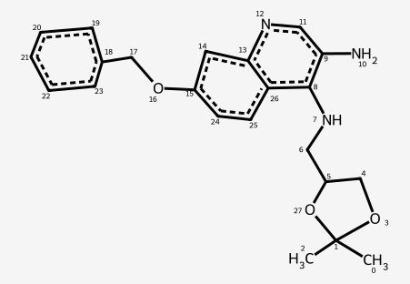 CC1(C)OCC(CNc2c(N)cnc3cc(OCc4ccccc4)ccc23)O1